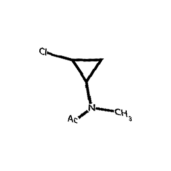 CC(=O)N(C)C1CC1Cl